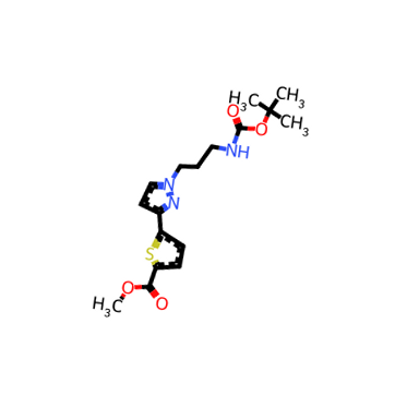 COC(=O)c1ccc(-c2ccn(CCCNC(=O)OC(C)(C)C)n2)s1